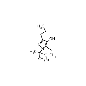 CCCc1nn(C(C)(C)C)c(CC)c1O